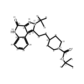 CC(C)(C)OC(=O)N1CCC(CCc2c3c(nn2C(C)(C)C)c(=O)[nH]c2ccccc23)CC1